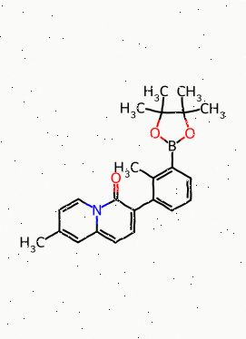 Cc1ccn2c(=O)c(-c3cccc(B4OC(C)(C)C(C)(C)O4)c3C)ccc2c1